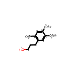 COc1cc(CCCO)c([N+](=O)[O-])cc1OC